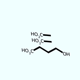 CC(=O)O.CC(=O)O.O=C(O)CCCO